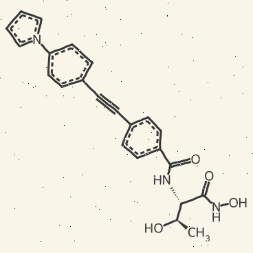 C[C@@H](O)[C@H](NC(=O)c1ccc(C#Cc2ccc(-n3cccc3)cc2)cc1)C(=O)NO